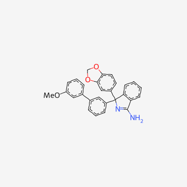 COc1cccc(-c2cccc(C3(c4ccc5c(c4)OCO5)N=C(N)c4ccccc43)c2)c1